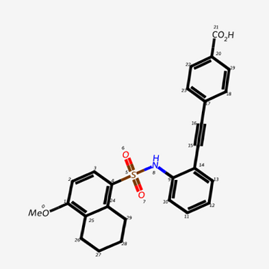 COc1ccc(S(=O)(=O)Nc2ccccc2C#Cc2ccc(C(=O)O)cc2)c2c1CCCC2